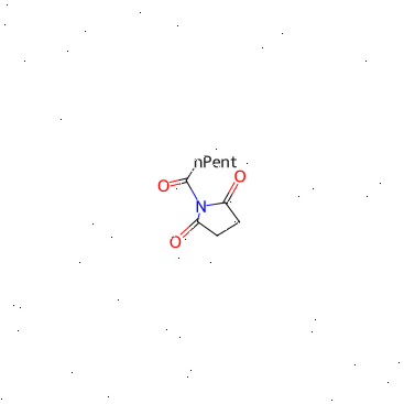 CCCCCC(=O)N1C(=O)CCC1=O